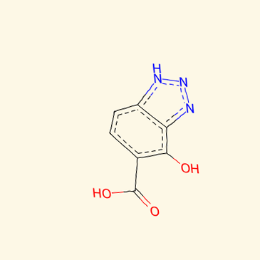 O=C(O)c1ccc2[nH]nnc2c1O